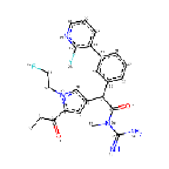 CCC(=O)c1cc(C(C(=O)N(C)C(=N)N)c2cccc(-c3cccnc3F)c2)cn1CCF